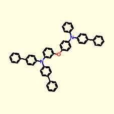 c1ccc(-c2ccc(N(c3ccccc3)c3ccc(Oc4cccc(N(c5ccc(-c6ccccc6)cc5)c5ccc(-c6ccccc6)cc5)c4)cc3)cc2)cc1